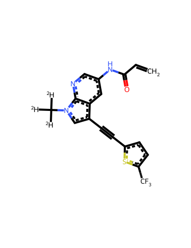 [2H]C([2H])([2H])n1cc(C#Cc2ccc(C(F)(F)F)s2)c2cc(NC(=O)C=C)cnc21